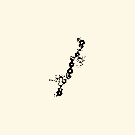 CC(C)[C@H](NC(=O)OC(C)(C)C)C(=O)N1C[C@H](OC(=O)N2Cc3ccc4c(c3C2)OCO4)C[C@H]1c1nc(-c2ccc(-c3ccc(-c4cnc([C@@H]5C[C@@H](OC(=O)N6Cc7ccc8c(c7C6)OCO8)CN5C(=O)[C@@H](NC(=O)OC(C)(C)C)C(C)C)[nH]4)cc3)cc2)c[nH]1